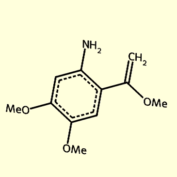 C=C(OC)c1cc(OC)c(OC)cc1N